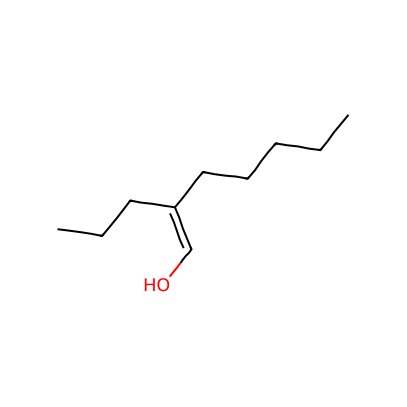 CCCCCC(=CO)CCC